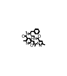 CCn1nc(C)cc1C(=O)NCC[C@H](Cc1ccccc1)N(C)C(=O)c1cc2ccoc2nc1C